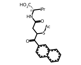 CC(=O)SC(CC(=O)N[C@H](C(=O)O)C(C)C)C(=O)c1ccc2ccccc2c1